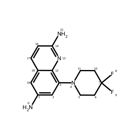 Nc1cc(N2CCC(F)(F)CC2)c2nc(N)ccc2c1